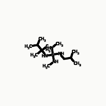 CN[Si](NC)(NCC(C)C)NC(C)(C)C(C)C